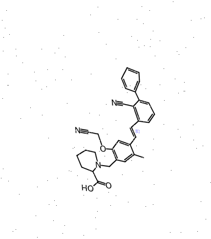 Cc1cc(CN2CCCCC2C(=O)O)c(OCC#N)cc1/C=C/c1cccc(-c2ccccc2)c1C#N